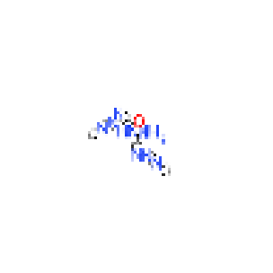 NC(NC(=O)c1ccnc(N2CCN(C3CCCC3)CC2)c1)c1ccnc(N2CCN(C3CCCC3)CC2)c1